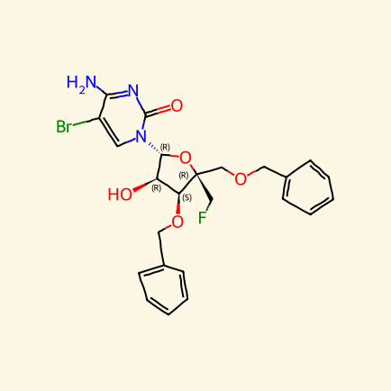 Nc1nc(=O)n([C@@H]2O[C@](CF)(COCc3ccccc3)[C@@H](OCc3ccccc3)[C@H]2O)cc1Br